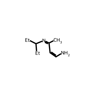 CCC(CC)/N=C(C)\C=C/N